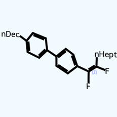 CCCCCCCCCCc1ccc(-c2ccc(/C(F)=C(/F)CCCCCCC)cc2)cc1